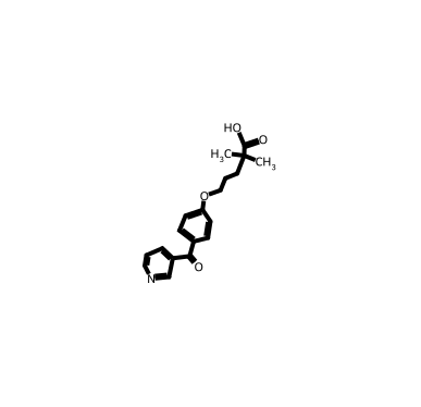 CC(C)(CCCOc1ccc(C(=O)c2cccnc2)cc1)C(=O)O